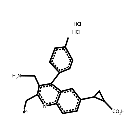 Cc1ccc(-c2c(CN)c(CC(C)C)nc3ccc(C4CC4C(=O)O)cc23)cc1.Cl.Cl